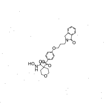 O=C1c2ccccc2CN1CCCOc1ccc(S(=O)(=O)C2(C(=O)NO)CCOCC2)cc1